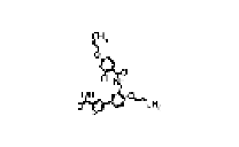 CCCOc1ccc(C(=O)NCc2cc(-c3csc(C(=O)O)c3)ccc2OCCC)c(Cl)c1